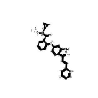 CON(C(=O)c1ccccc1Sc1ccc2c(/C=C/c3ccccn3)n[nH]c2c1)C1CC1